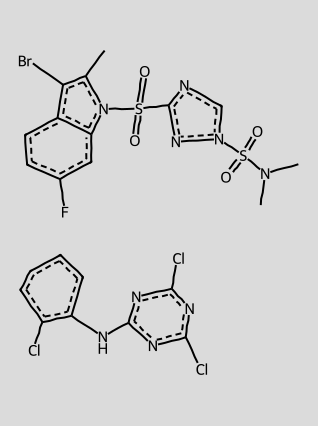 Cc1c(Br)c2ccc(F)cc2n1S(=O)(=O)c1ncn(S(=O)(=O)N(C)C)n1.Clc1nc(Cl)nc(Nc2ccccc2Cl)n1